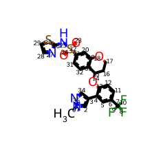 Cn1cc(-c2cc(C(F)(F)F)ccc2OC2CCOc3cc(S(=O)(=O)Nc4nccs4)ccc32)cn1